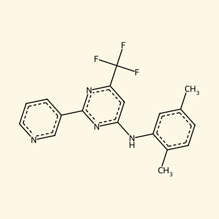 Cc1ccc(C)c(Nc2cc(C(F)(F)F)nc(-c3cccnc3)n2)c1